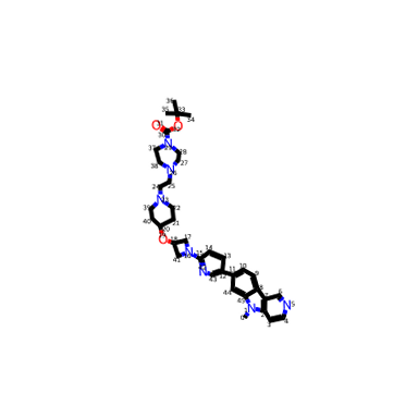 Cn1c2ccncc2c2ccc(-c3ccc(N4CC(OC5CCN(CCN6CCN(C(=O)OC(C)(C)C)CC6)CC5)C4)nc3)cc21